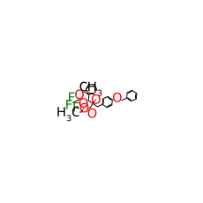 CCCC(OC(=O)C(F)(F)F)C(Cc1ccc(OCc2ccccc2)cc1)(Oc1ccccc1)C(=O)OCC